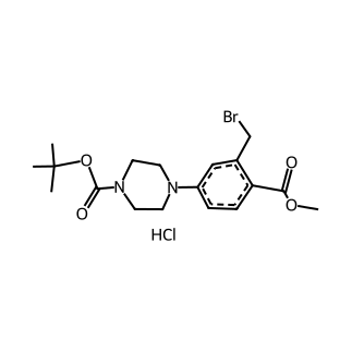 COC(=O)c1ccc(N2CCN(C(=O)OC(C)(C)C)CC2)cc1CBr.Cl